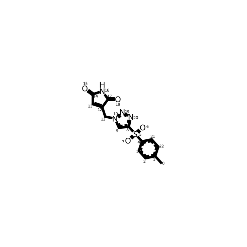 Cc1ccc(S(=O)(=O)c2cn(CC3=CC(=O)NC3=O)nn2)cc1